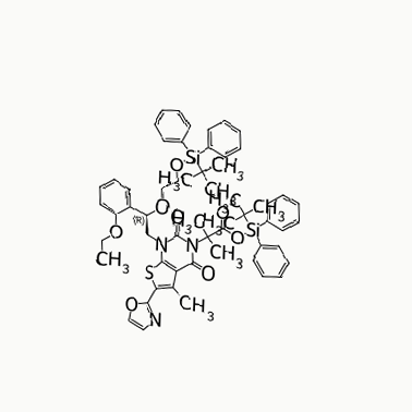 CCOc1ccccc1[C@H](Cn1c(=O)n(C(C)(C)C(=O)O[Si](c2ccccc2)(c2ccccc2)C(C)(C)C)c(=O)c2c(C)c(-c3ncco3)sc21)OCCO[Si](c1ccccc1)(c1ccccc1)C(C)(C)C